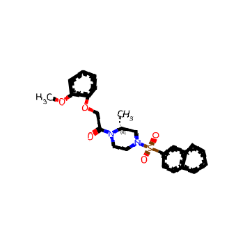 COc1ccccc1OCC(=O)N1CCN(S(=O)(=O)c2ccc3ccccc3c2)C[C@H]1C